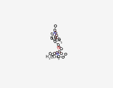 CC1(C)c2ccccc2-c2ccc(N(c3ccc(-c4ccccc4)cc3)c3cccc(-c4cccc(-c5ccc(-c6ccc7c(c6)oc6c(-c8ccc(N(c9ccc%10c(c9)C(C)(C)c9ccccc9-%10)c9cccc(-c%10cccc(-c%11ccccc%11)c%10)c9-c9ccccc9-c9ccccc9)cc8)cccc67)cc5)c4)c3-c3ccccc3-c3ccccc3)cc21